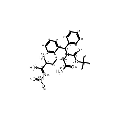 CC(C)(C)OC(=O)N(C(c1ccccc1)c1ccccc1)[C@@H](CCC(N)C(N)=N[N+](=O)[O-])C(N)=O